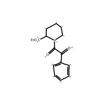 CCOC(=O)C1CCCCN1C(=O)C(=O)c1ccccc1